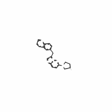 O[C@@H]1CCN(c2ccc3ncc(Cc4ccc5ncccc5c4)n3n2)C1